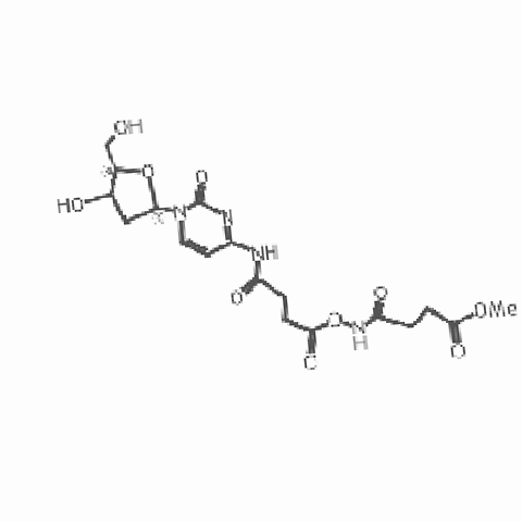 COC(=O)CCC(=O)NOC(=O)CCC(=O)Nc1ccn([C@H]2CC(O)[C@@H](CO)O2)c(=O)n1